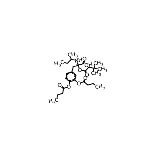 CCCC(=O)Oc1ccc(C[C@](NC(C)CC)(OC(=O)CC(C)(C)C)C(=O)O)cc1OC(=O)CCC